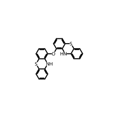 c1ccc2c(c1)Nc1c(Oc3cccc4c3Nc3ccccc3S4)cccc1S2